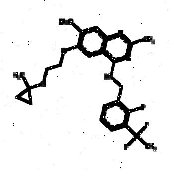 COc1cc2nc(C)nc(NCc3cccc(C(C)(F)F)c3F)c2cc1OCCOC1(C)CC1